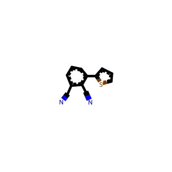 N#Cc1cccc(-c2cccs2)c1C#N